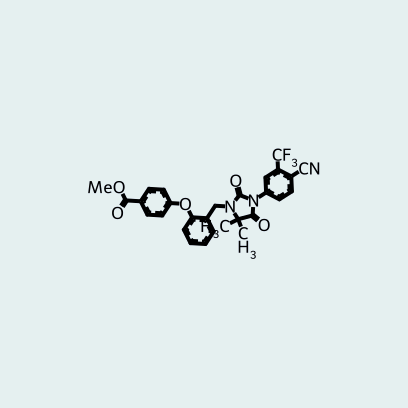 COC(=O)c1ccc(Oc2ccccc2CN2C(=O)N(c3ccc(C#N)c(C(F)(F)F)c3)C(=O)C2(C)C)cc1